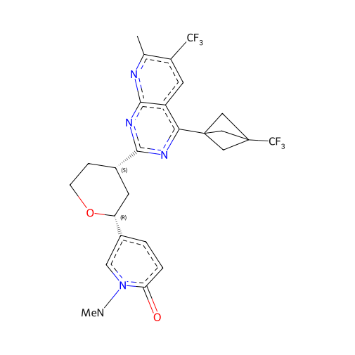 CNn1cc([C@H]2C[C@@H](c3nc(C45CC(C(F)(F)F)(C4)C5)c4cc(C(F)(F)F)c(C)nc4n3)CCO2)ccc1=O